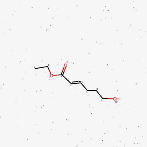 CCOC(=O)C=CCCCO